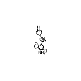 Nc1c(Cl)cc(-c2nc(C3CCNCC3)no2)c2c1CCO2